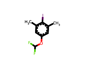 Cc1cc(OC(F)F)cc(C)c1I